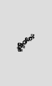 O=C(O)Cn1c(=O)n(C2CCN(C(=O)Cc3ccc(C(F)(F)F)cc3)CC2)c2ccccc21